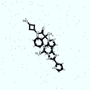 CC(C(=O)NC1CC(O)C1)(c1ccccc1)n1ncc2c1nc(N)n1nc(-c3ccco3)nc21